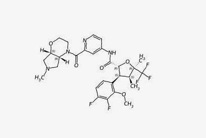 COc1c([C@H]2[C@H](C(=O)Nc3ccnc(C(=O)N4CCO[C@H]5CN(C)C[C@H]54)c3)O[C@@](C)(C(F)(F)F)[C@H]2C)ccc(F)c1F